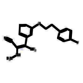 N#C/C(NN)=C(/N)c1cccc(OCCc2ccc(F)cc2)c1